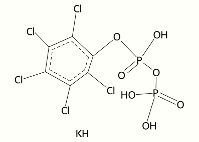 O=P(O)(O)OP(=O)(O)Oc1c(Cl)c(Cl)c(Cl)c(Cl)c1Cl.[KH]